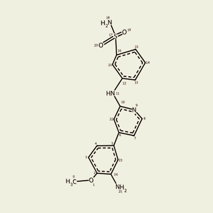 COc1ccc(-c2ccnc(Nc3cccc(S(N)(=O)=O)c3)c2)cc1N